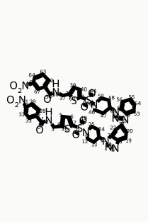 O=C(NCc1ccc(S(=O)(=O)N2CCC(n3nnc4ccccc43)CC2)s1)c1ccc([N+](=O)[O-])cc1.O=C(NCc1ccc(S(=O)(=O)N2CCC(n3nnc4ccccc43)CC2)s1)c1cccc([N+](=O)[O-])c1